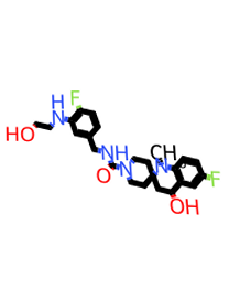 CN1c2ccc(F)cc2C(O)CC12CCN(C(=O)NCc1ccc(F)c(NCCO)c1)CC2